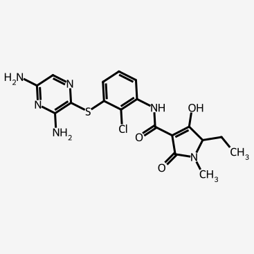 CCC1C(O)=C(C(=O)Nc2cccc(Sc3ncc(N)nc3N)c2Cl)C(=O)N1C